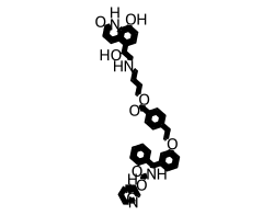 O=C(NC(c1ccccc1)c1cccc(OCCc2ccc(C(=O)OCCCCNC[C@H](O)c3ccc(O)c4[nH]c(=O)ccc34)cc2)c1)O[C@H]1CN2CCC1CC2